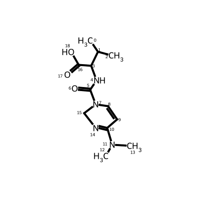 CC(C)C(NC(=O)N1C=CC(N(C)C)=NC1)C(=O)O